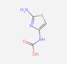 Nc1nc(NC(=O)O)cs1